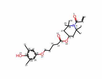 C=CC(=O)N1C(C)(C)CC(OC(=O)CCCCOc2cc(C)c(O)c(C)c2)CC1(C)C